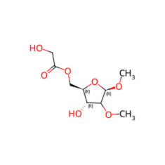 COC1[C@H](OC)O[C@H](COC(=O)CO)[C@H]1O